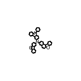 c1ccc(-n2c3ccccc3c3cc(N(c4ccc5c(ccc6oc7ccccc7c65)c4)c4ccc5oc6ccccc6c5c4)ccc32)cc1